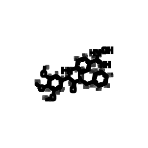 COc1cc([C@H](Nc2ccc(C(=N)NO)cc2)C(=O)NCc2ccccc2)cc(OC)c1OC